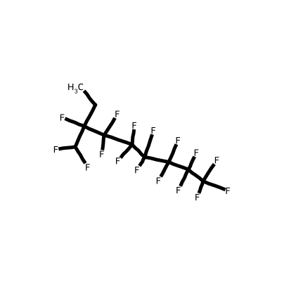 CCC(F)([C](F)F)C(F)(F)C(F)(F)C(F)(F)C(F)(F)C(F)(F)C(F)(F)F